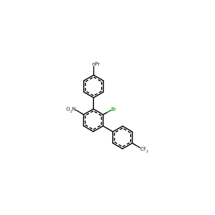 CCCc1ccc(-c2c([N+](=O)[O-])ccc(-c3ccc(C(F)(F)F)cc3)c2Br)cc1